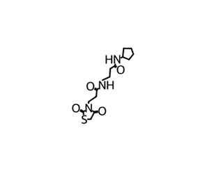 O=C(CCN1C(=O)CSC1=O)NCCCC(=O)NC1CCCC1